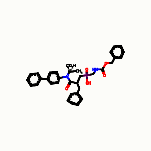 C[C@@H](C(=O)O)N(C(=O)C(Cc1ccccc1)CP(=O)(O)CNC(=O)OCc1ccccc1)c1ccc(-c2ccccc2)cc1